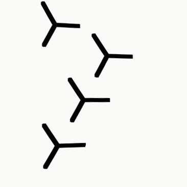 CC(C)C.CC(C)C.CC(C)C.CC(C)C